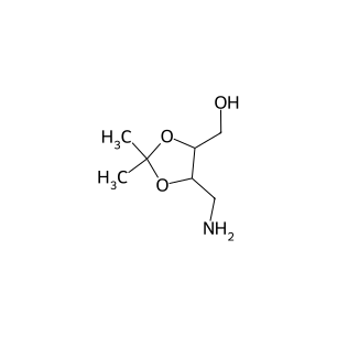 CC1(C)OC(CN)C(CO)O1